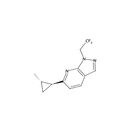 C[C@H]1C[C@@H]1c1ccc2cnn(CC(F)(F)F)c2n1